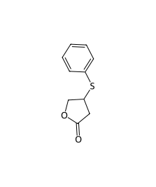 O=C1CC(Sc2ccccc2)CO1